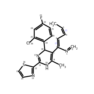 C=N/C(=C\C=C/C)C1=C(C)NC(c2nccs2)=NC1c1ccc(F)cc1Cl